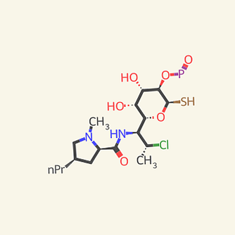 CCC[C@@H]1C[C@H](C(=O)N[C@@H]([C@H]2O[C@H](S)[C@H](OP=O)[C@@H](O)[C@H]2O)[C@@H](C)Cl)N(C)C1